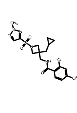 Cc1ccc(C(=O)NCC2(CC3CC3)CN(S(=O)(=O)c3cnn(C)n3)C2)c(Cl)c1